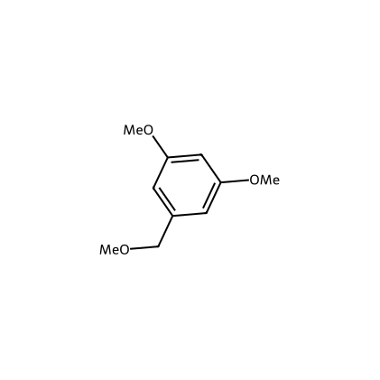 [CH2]OCc1cc(OC)cc(OC)c1